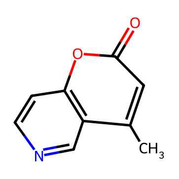 Cc1cc(=O)oc2ccncc12